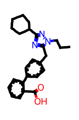 CCCn1nc(C2CCCCC2)nc1Cc1ccc(-c2ccccc2C(=O)O)cc1